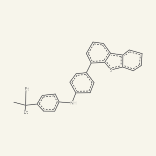 CCC(C)(CC)c1ccc(Nc2ccc(-c3cccc4c3sc3ccccc34)cc2)cc1